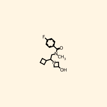 CN(CC(C1CCC1)N1CC(O)C1)C(=O)c1ccc(F)cc1